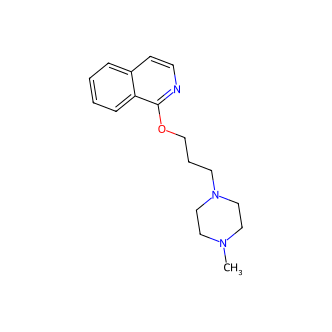 CN1CCN(CCCOc2nccc3ccccc23)CC1